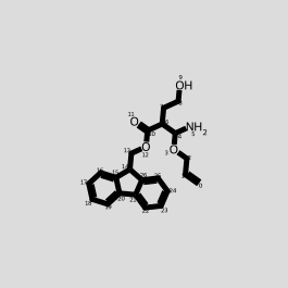 C=CCOC(N)C(CCO)C(=O)OCC1c2ccccc2-c2ccccc21